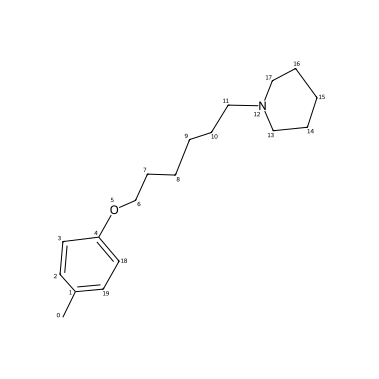 Cc1ccc(OCCCCCCN2CCCCC2)cc1